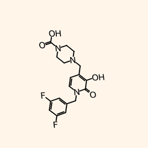 O=C(O)N1CCN(Cc2ccn(Cc3cc(F)cc(F)c3)c(=O)c2O)CC1